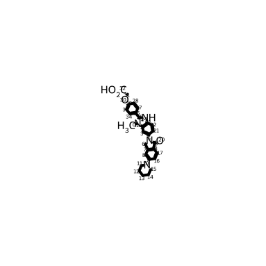 CN1c2cc(N3Cc4cc(N5CCCCC5)ccc4C3=O)ccc2NC1c1ccc(OCC(=O)O)cc1